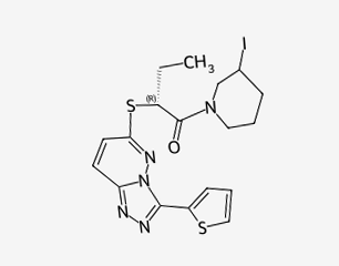 CC[C@@H](Sc1ccc2nnc(-c3cccs3)n2n1)C(=O)N1CCCC(I)C1